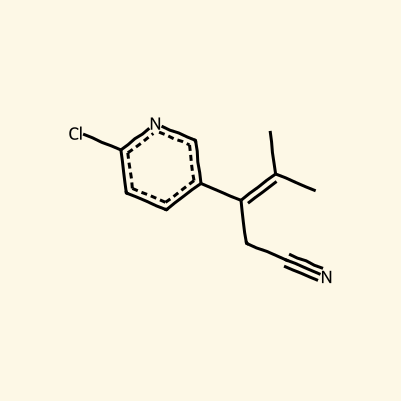 CC(C)=C(CC#N)c1ccc(Cl)nc1